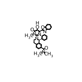 CN(C)C(=O)c1ccc2c(c1)[C@H](c1ccccc1)N(c1nc(-c3nc4ccccc4o3)c(O)c(=O)n1C)CC2